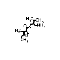 CCc1onc(C(=O)NCC(CN)C(C)C)c1C